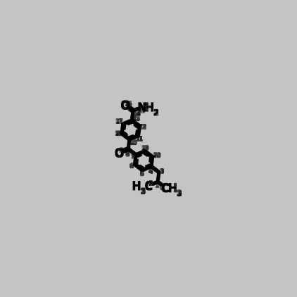 CC(C)Cc1ccc(C(=O)c2ccc(C(N)=O)cc2)cc1